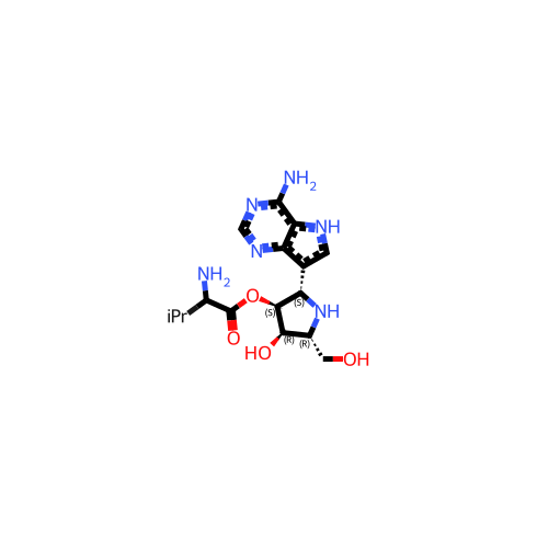 CC(C)C(N)C(=O)O[C@@H]1[C@H](O)[C@@H](CO)N[C@H]1c1c[nH]c2c(N)ncnc12